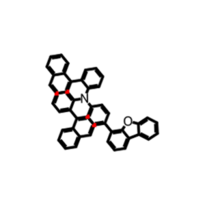 c1ccc(N(c2ccc(-c3cccc4c3oc3ccccc34)cc2)c2ccccc2-c2cccc3ccccc23)c(-c2cccc3ccccc23)c1